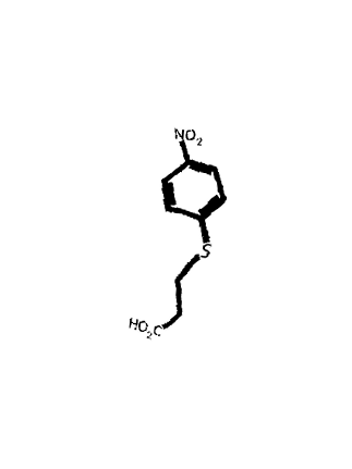 O=C(O)CCSc1ccc([N+](=O)[O-])cc1